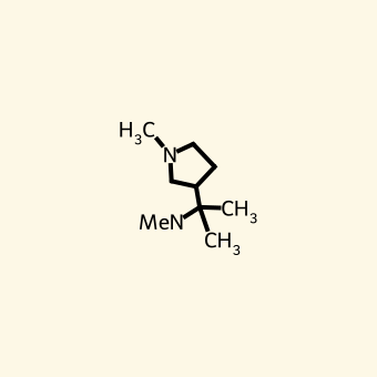 CNC(C)(C)C1CCN(C)C1